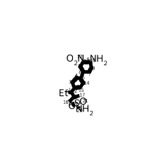 CCC(c1ccc(-c2ccc(N)c([N+](=O)[O-])c2)cc1)C(C)(C)S(N)(=O)=O